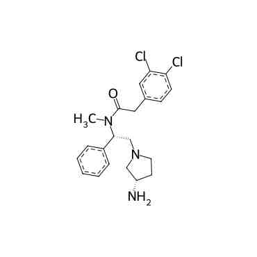 CN(C(=O)Cc1ccc(Cl)c(Cl)c1)[C@H](CN1CC[C@H](N)C1)c1ccccc1